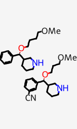 COCCCCO[C@@H](c1ccccc1)C1CCCNC1.COCCCO[C@@H](c1cccc(C#N)c1)C1CCCNC1